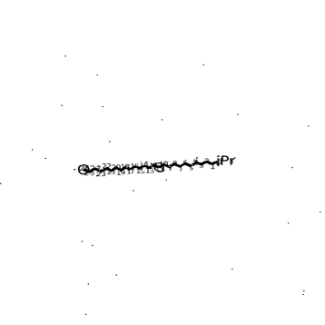 CC(C)CCCCCCCCCCOCCCCCCCCCCCCCC[O]